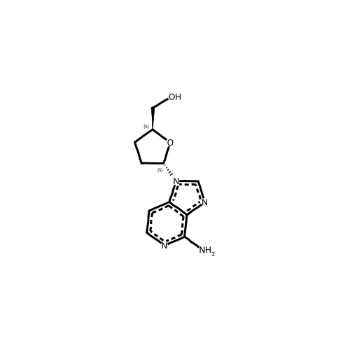 Nc1nccc2c1ncn2[C@@H]1CC[C@@H](CO)O1